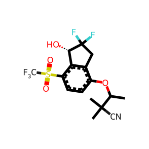 CC(Oc1ccc(S(=O)(=O)C(F)(F)F)c2c1CC(F)(F)[C@H]2O)C(C)(C)C#N